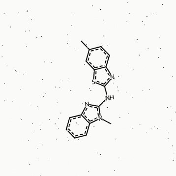 Cc1ccc2nc(Nc3nc4ccccc4n3C)sc2c1